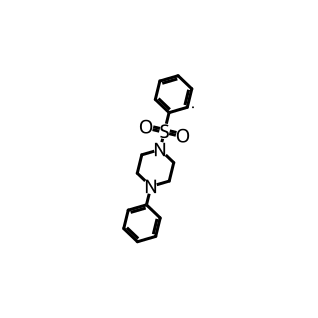 O=S(=O)(c1[c]cccc1)N1CCN(c2ccccc2)CC1